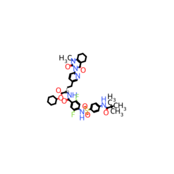 Cn1c2c(c(=O)n(-c3ccc(CC[C@H](NC(=O)c4cc(F)c(NS(=O)(=O)c5ccc(NC(=O)C(C)(C)C)cc5)cc4F)C(=O)OC4CCCCC4)cn3)c1=O)CCCC2